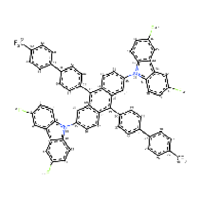 Fc1ccc2c(c1)c1cc(F)ccc1n2-c1ccc2c(-c3ccc(-c4ccc(C(F)(F)F)cc4)cc3)c3cc(-n4c5ccc(F)cc5c5cc(F)ccc54)ccc3c(-c3ccc(-c4ccc(C(F)(F)F)cc4)cc3)c2c1